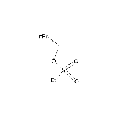 [CH2]CCCOS(=O)(=O)CC